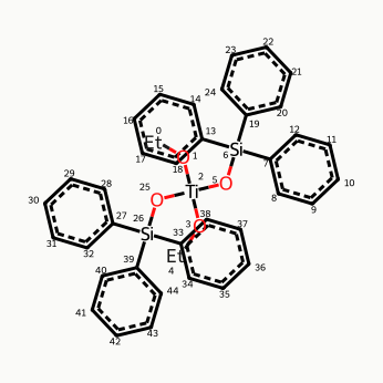 CC[O][Ti]([O]CC)([O][Si](c1ccccc1)(c1ccccc1)c1ccccc1)[O][Si](c1ccccc1)(c1ccccc1)c1ccccc1